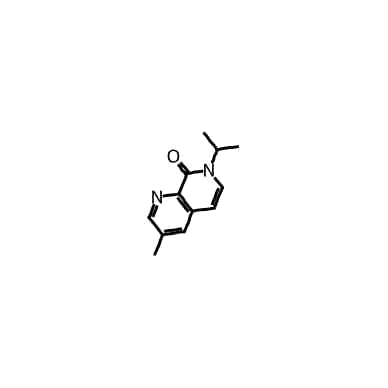 Cc1cnc2c(=O)n(C(C)C)ccc2c1